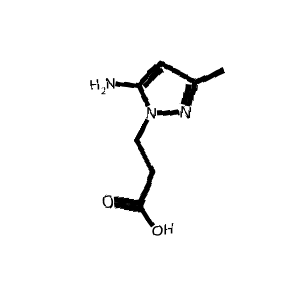 Cc1cc(N)n(CCC(=O)O)n1